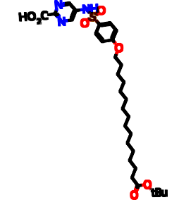 CC(C)(C)OC(=O)CCCCCCCCCCCCCCCOc1ccc(S(=O)(=O)Nc2cnc(C(=O)O)nc2)cc1